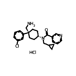 Cl.NC[C@]1(c2cccc(Cl)c2)CC[C@@H](N(CC2CC2)C(=O)c2cccnc2)CC1